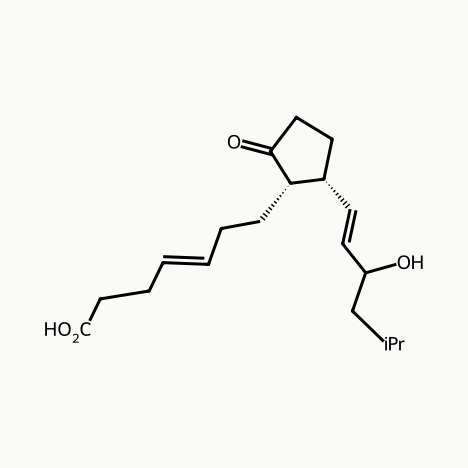 CC(C)CC(O)/C=C/[C@H]1CCC(=O)[C@H]1CCC=CCCC(=O)O